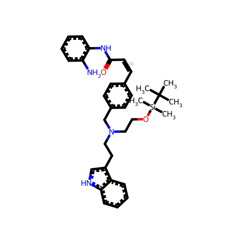 CC(C)(C)[Si](C)(C)OCCN(CCc1c[nH]c2ccccc12)Cc1ccc(/C=C\C(=O)Nc2ccccc2N)cc1